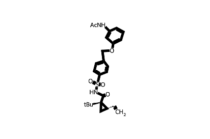 C=C[C@@H]1C[C@@]1(C(=O)NS(=O)(=O)c1ccc(COc2cccc(NC(C)=O)c2)cc1)C(C)(C)C